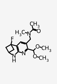 COC(OC)c1nc2c(cc1CN(C)C(C)=O)C1(F)CC(C1)N2